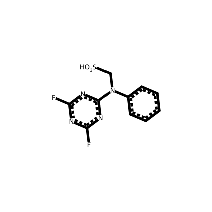 O=S(=O)(O)CN(c1ccccc1)c1nc(F)nc(F)n1